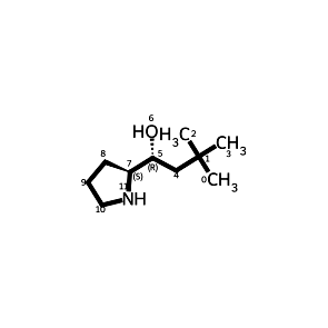 CC(C)(C)C[C@@H](O)[C@@H]1CCCN1